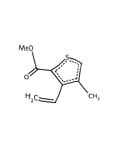 C=Cc1c(C)csc1C(=O)OC